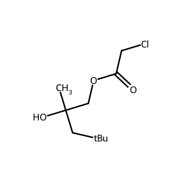 CC(C)(C)CC(C)(O)COC(=O)CCl